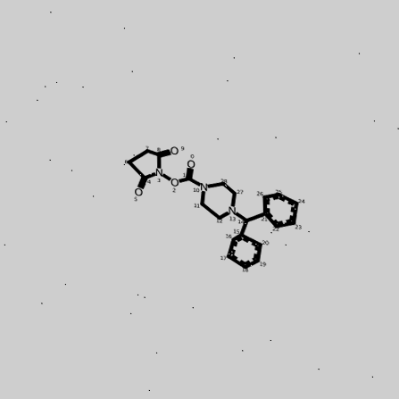 O=C(ON1C(=O)CCC1=O)N1CCN(C(c2ccccc2)c2ccccc2)CC1